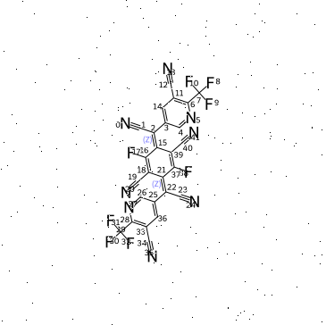 N#C/C(c1cnc(C(F)(F)F)c(C#N)c1)=c1\c(F)c(C#N)/c(=C(/C#N)c2cnc(C(F)(F)F)c(C#N)c2)c(F)c1C#N